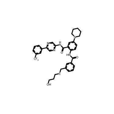 O=C(Nc1ccc(N2CCCCC2)cc1C(=O)Nc1cnc(-c2cccc(C(F)(F)F)c2)cn1)c1cccc(CSCCCO)c1